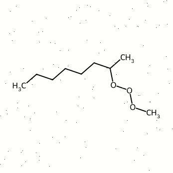 CCCCCCC(C)OOOC